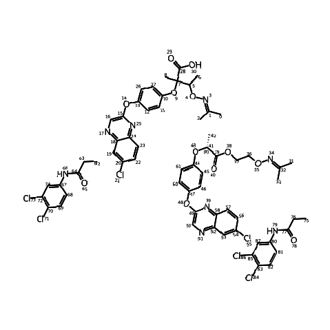 CC(C)=NOC(C)C(C)(Oc1ccc(Oc2cnc3cc(Cl)ccc3n2)cc1)C(=O)O.CC(C)=NOCCOC(=O)[C@@H](C)Oc1ccc(Oc2cnc3cc(Cl)ccc3n2)cc1.CCC(=O)Nc1ccc(Cl)c(Cl)c1.CCC(=O)Nc1ccc(Cl)c(Cl)c1